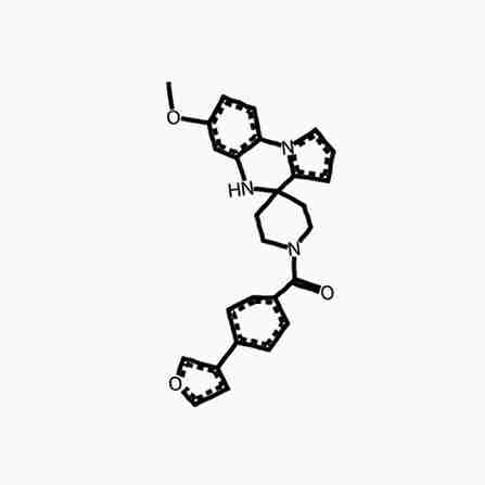 COc1ccc2c(c1)NC1(CCN(C(=O)c3ccc(-c4ccoc4)cc3)CC1)c1cccn1-2